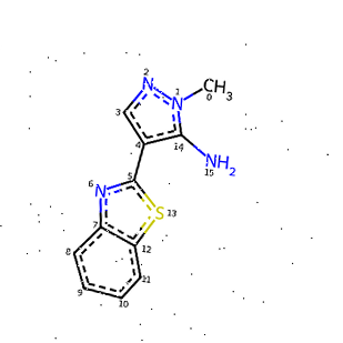 Cn1ncc(-c2nc3ccccc3s2)c1N